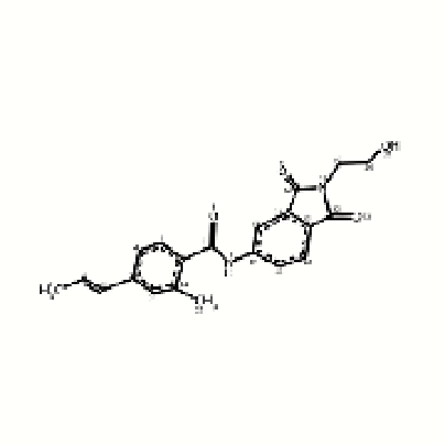 C/C=C/c1ccc(C(=O)Nc2ccc3c(c2)C(=O)N(CCO)C3=O)c(C)c1